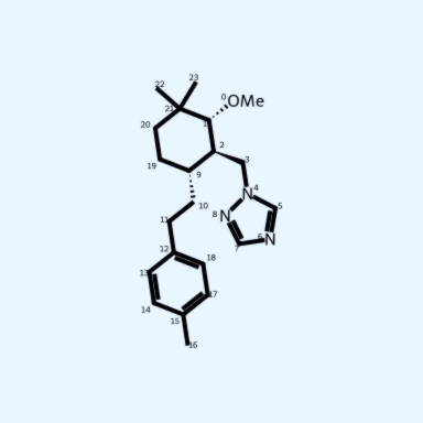 CO[C@@H]1[C@@H](Cn2cncn2)[C@H](CCc2ccc(C)cc2)CCC1(C)C